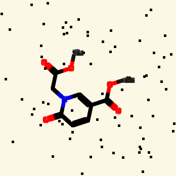 CCCCOC(=O)c1ccc(=O)n(CC(=O)OC(C)(C)C)c1